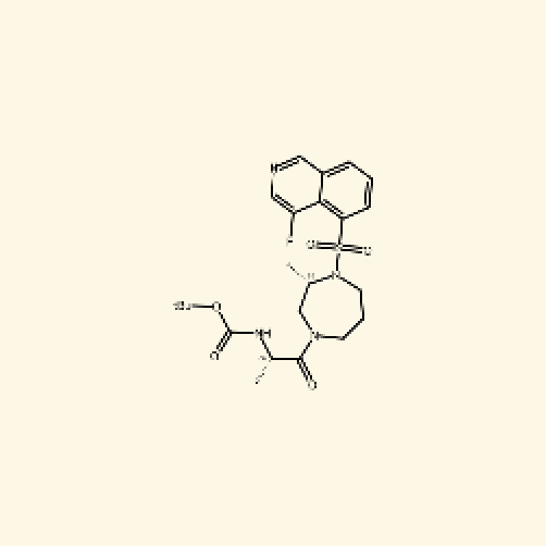 C[C@H](NC(=O)OC(C)(C)C)C(=O)N1CCCN(S(=O)(=O)c2cccc3cncc(F)c23)[C@@H](C)C1